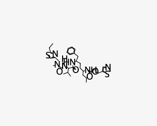 CCCC(CCC(Cc1ccccc1)NC(=O)C(NC(=O)N(C)Cc1csc(CC)n1)C(C)C)NC(=O)OCc1cncs1